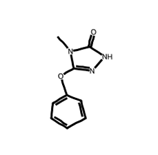 Cn1c(Oc2ccccc2)n[nH]c1=O